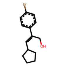 OCC(=CC1CCCC1)c1ccc(Br)cc1